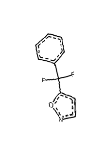 FC(F)(c1ccccc1)c1ccno1